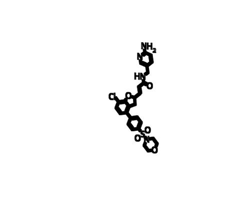 Nc1ccc(CNC(=O)/C=C/C2Cc3c(-c4ccc(S(=O)(=O)N5CCOCC5)cc4)ccc(Cl)c3O2)cn1